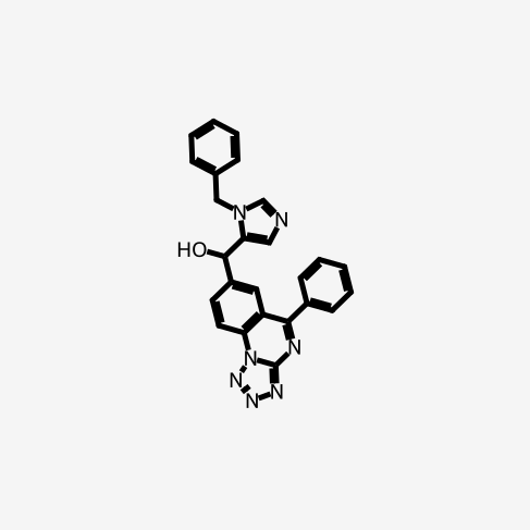 OC(c1ccc2c(c1)c(-c1ccccc1)nc1nnnn12)c1cncn1Cc1ccccc1